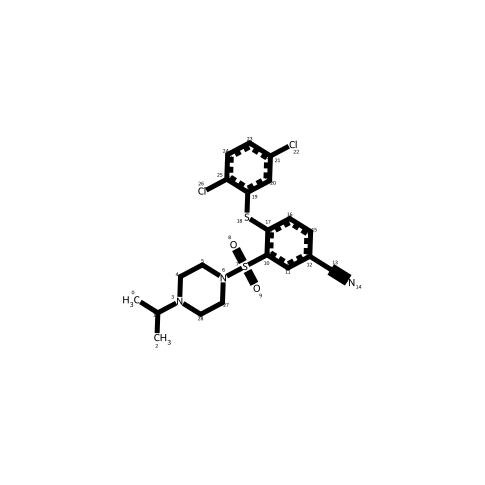 CC(C)N1CCN(S(=O)(=O)c2cc(C#N)ccc2Sc2cc(Cl)ccc2Cl)CC1